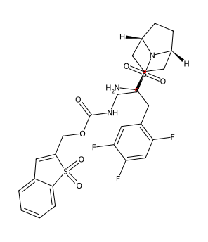 NC(Cc1cc(F)c(F)cc1F)[C@@H]1C[C@H]2CC[C@@H](C1)N2S(=O)(=O)CCNC(=O)OCC1=Cc2ccccc2S1(=O)=O